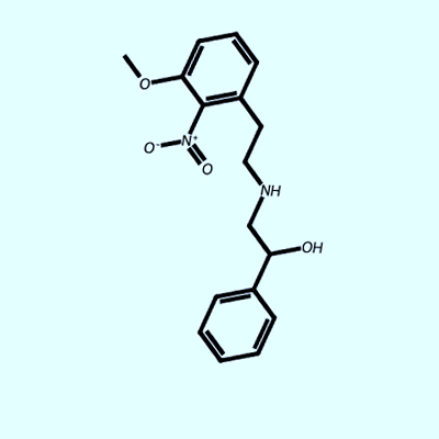 COc1cccc(CCNCC(O)c2ccccc2)c1[N+](=O)[O-]